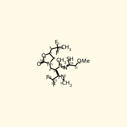 C=N/C(=C(/CN1CC(CC(C)(F)F)OC1=O)N(C)/N=C(\S)COC)C(F)F